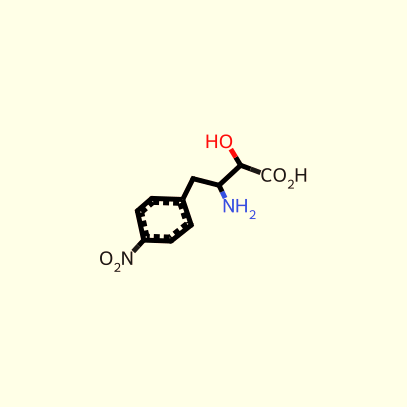 NC(Cc1ccc([N+](=O)[O-])cc1)C(O)C(=O)O